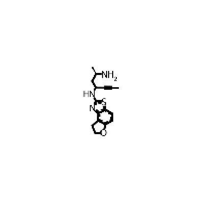 CC#CC(C[C@@H](C)N)Nc1nc2c3c(ccc2s1)OCC3